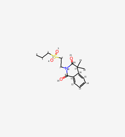 CCCS(=O)(=O)CCN1C(=O)c2ccccc2C(C)(C)C1=O